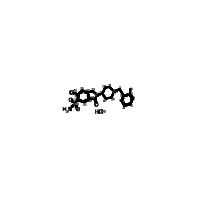 Cc1ccccc1CN1CCC(N2Cc3cc(Cl)c(S(N)(=O)=O)cc3C2=O)CC1.Cl